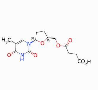 Cc1cn([C@H]2CC[C@@H](COC(=O)CCC(=O)O)O2)c(=O)[nH]c1=O